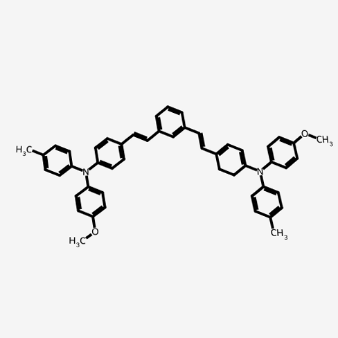 COc1ccc(N(C2=CC=C(C=Cc3cccc(C=Cc4ccc(N(c5ccc(C)cc5)c5ccc(OC)cc5)cc4)c3)CC2)c2ccc(C)cc2)cc1